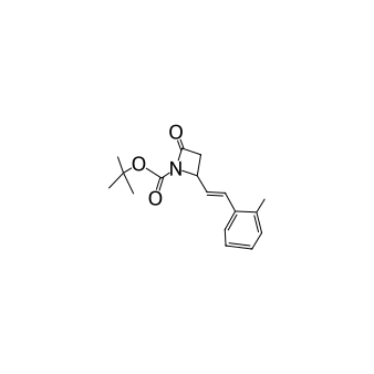 Cc1ccccc1C=CC1CC(=O)N1C(=O)OC(C)(C)C